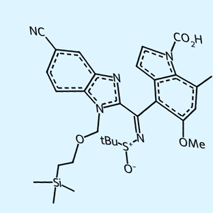 COc1cc(C)c2c(ccn2C(=O)O)c1C(=N[S+]([O-])C(C)(C)C)c1nc2cc(C#N)ccc2n1COCC[Si](C)(C)C